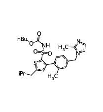 CCCCOC(=O)NS(=O)(=O)c1sc(CC(C)C)cc1-c1ccc(Cn2ccnc2C)cc1C